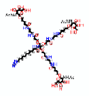 CC(=O)NC1C(OCCCCC(=O)NCCCNC(=O)CCOCC(COCCC(=O)NCCCNC(=O)CCCCOC2OC(CO)C(O)C(O)C2NC(C)=O)(COCCC(=O)NCCCNC(=O)CCCCOC2OC(CO)C(O)C(O)C2NC(C)=O)NC(=O)CCCCCCCCCCN=[N+]=[N-])OC(CO)C(O)C1O